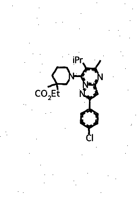 CCOC(=O)C1(C)CCCN(c2c(C(C)C)c(C)nc3cc(-c4ccc(Cl)cc4)nn23)C1